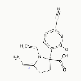 C=CN1/C(=C\N)CCC1(C(=O)O)c1ccc(C#N)cc1Cl